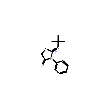 CC(C)(C)/N=C1\SCC(=O)N1c1ccccc1